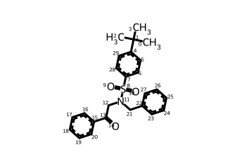 CC(C)(C)c1ccc(S(=O)(=O)N(CC(=O)c2ccccc2)Cc2ccccc2)cc1